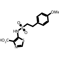 COc1ccc(CCS(=O)(=O)Nc2scnc2C(=O)O)cc1